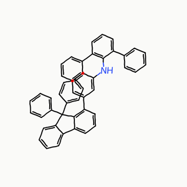 c1ccc(-c2cccc(-c3ccccc3)c2Nc2cccc(-c3cccc4c3C(c3ccccc3)(c3ccccc3)c3ccccc3-4)c2)cc1